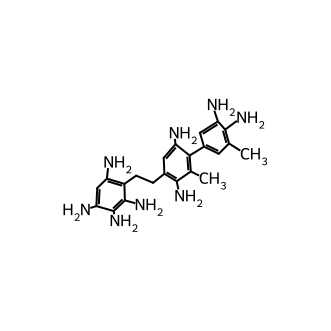 Cc1cc(-c2c(N)cc(CCc3c(N)cc(N)c(N)c3N)c(N)c2C)cc(N)c1N